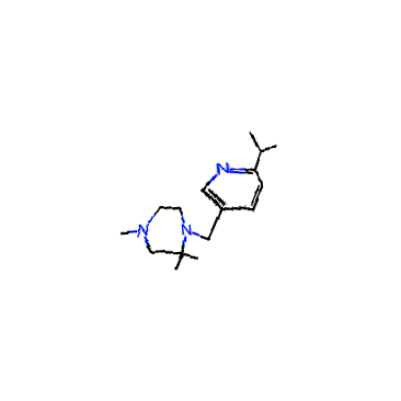 CC(C)c1ccc(CN2CCN(C)CC2(C)C)cn1